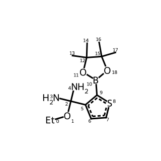 CCOC(N)(N)c1ccsc1B1OC(C)(C)C(C)(C)O1